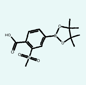 CC1(C)OB(c2ccc(C(=O)O)c(S(C)(=O)=O)c2)OC1(C)C